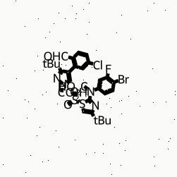 CC(C)(C)C1=CS(=S(=O)=O)C(N(C(=O)O)c2ccc(Br)c(F)c2)=N1.CC(C)(C)c1nn(C(=O)O)cc1-c1cc(Cl)ccc1C=O